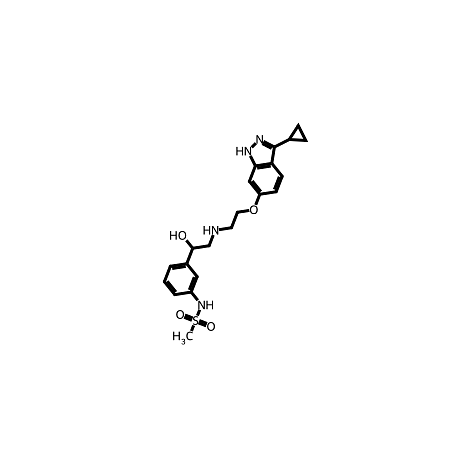 CS(=O)(=O)Nc1cccc(C(O)CNCCOc2ccc3c(C4CC4)n[nH]c3c2)c1